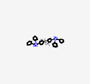 C[Si](C)(c1ccc(-c2nnc(-c3ccccc3)n2-c2ccccc2)cc1)c1ccc(-c2nnc(-c3ccccc3)n2-c2ccccc2)cc1